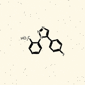 O=C(O)c1ccccc1-n1nncc1-c1ccc(F)cc1